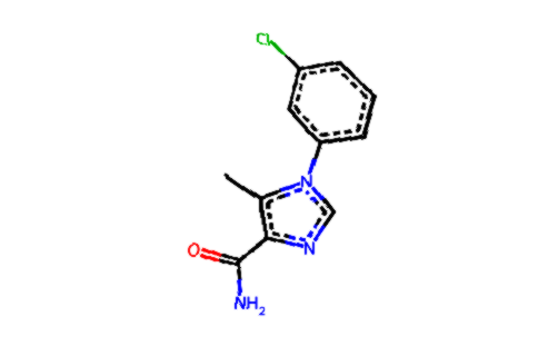 Cc1c(C(N)=O)ncn1-c1cccc(Cl)c1